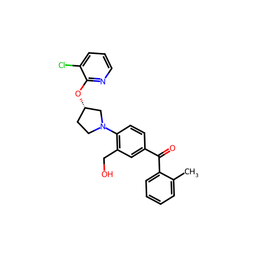 Cc1ccccc1C(=O)c1ccc(N2CC[C@H](Oc3ncccc3Cl)C2)c(CO)c1